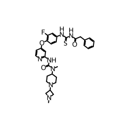 CN1CC(N2CCC(N(C)C(=O)Nc3cc(Oc4ccc(NC(=S)NC(=O)Cc5ccccc5)cc4F)ccn3)CC2)C1